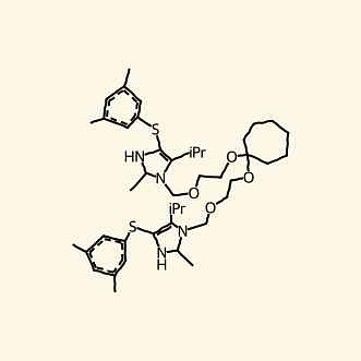 Cc1cc(C)cc(SC2=C(C(C)C)N(COCCOC3(OCCOCN4C(C(C)C)=C(Sc5cc(C)cc(C)c5)NC4C)CCCCCC3)C(C)N2)c1